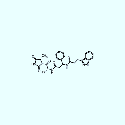 CC(C)[C@@H](NC(=O)C[C@H](NC(=O)CCn1nnc2ccccc21)c1ccccc1)C(=O)[C@@H]1C(=O)NC(=O)[C@@H]1C